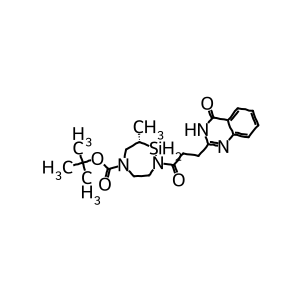 C[C@H]1CN(C(=O)OC(C)(C)C)CCN(C(=O)CCc2nc3ccccc3c(=O)[nH]2)[SiH2]1